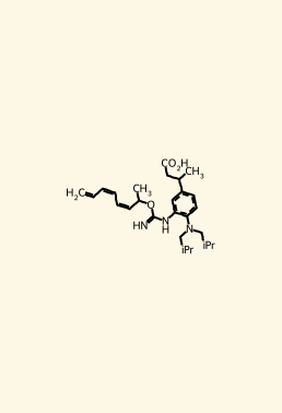 C=C/C=C\C=C/C(C)OC(=N)Nc1cc(C(C)CC(=O)O)ccc1N(CC(C)C)CC(C)C